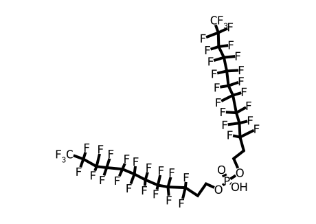 O=P(O)(OCCC(F)(F)C(F)(F)C(F)(F)C(F)(F)C(F)(F)C(F)(F)C(F)(F)C(F)(F)C(F)(F)C(F)(F)F)OCCC(F)(F)C(F)(F)C(F)(F)C(F)(F)C(F)(F)C(F)(F)C(F)(F)C(F)(F)C(F)(F)C(F)(F)F